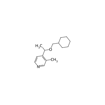 Cc1cnccc1C(C)OCC1CCCCC1